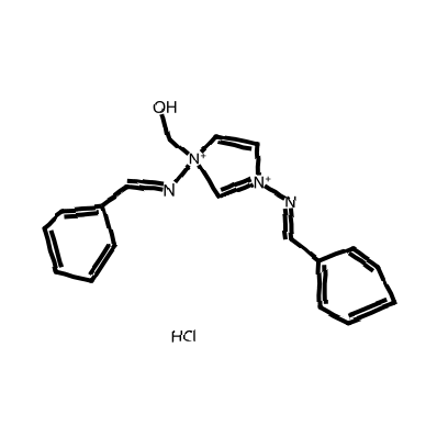 Cl.OC[N+]1(N=Cc2ccccc2)C=C[N+](N=Cc2ccccc2)=C1